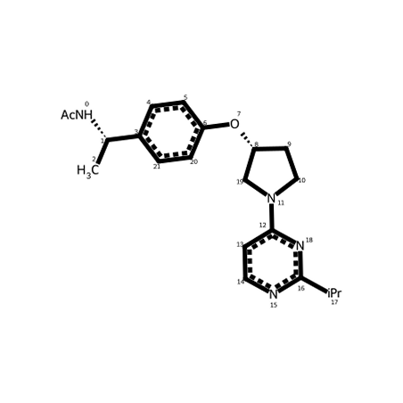 CC(=O)N[C@@H](C)c1ccc(O[C@@H]2CCN(c3ccnc(C(C)C)n3)C2)cc1